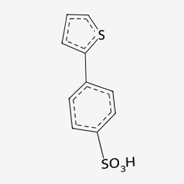 O=S(=O)(O)c1ccc(-c2cccs2)cc1